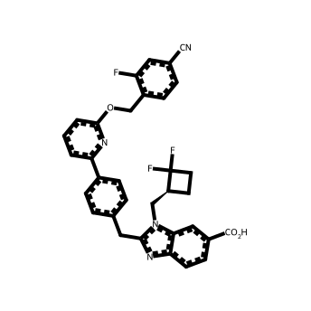 N#Cc1ccc(COc2cccc(-c3ccc(Cc4nc5ccc(C(=O)O)cc5n4C[C@@H]4CCC4(F)F)cc3)n2)c(F)c1